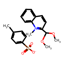 COC(OC)c1ccc2ccccc2[n+]1C.Cc1ccc(S(=O)(=O)[O-])cc1